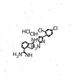 Cl.Cl.N=C(N)c1cccc2c1CC/C2=N\n1cc(-c2ccc(Cl)cc2Cl)nc1N